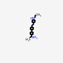 CCCNc1ccc(CCc2ccc(-c3ccc(C(N)CC)cc3)cc2)cc1